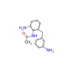 CC(=O)Nc1c(N)cccc1Cc1cccc(N)c1